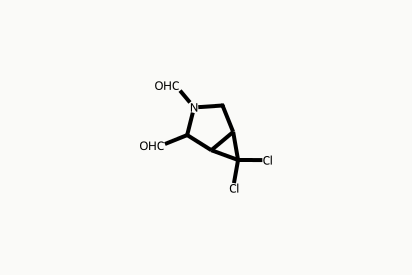 O=CC1C2C(CN1C=O)C2(Cl)Cl